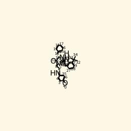 COc1ccc(NCCNC(=O)[C@H](Cc2ccccc2)NC(=O)Nc2c(C)cccc2C(C)(C)C)cc1